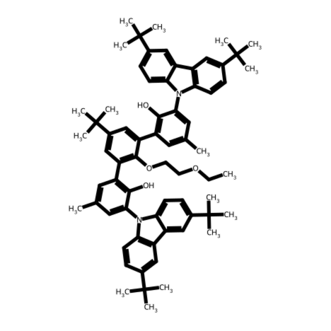 CCOCCOc1c(-c2cc(C)cc(-n3c4ccc(C(C)(C)C)cc4c4cc(C(C)(C)C)ccc43)c2O)cc(C(C)(C)C)cc1-c1cc(C)cc(-n2c3ccc(C(C)(C)C)cc3c3cc(C(C)(C)C)ccc32)c1O